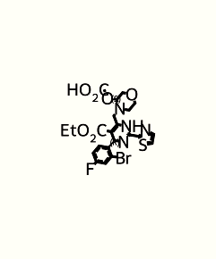 CCOC(=O)C1=C(CN2CCOC[C@@H]2OC(=O)O)NC(c2nccs2)=N[C@H]1c1ccc(F)cc1Br